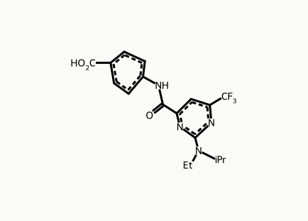 CCN(c1nc(C(=O)Nc2ccc(C(=O)O)cc2)cc(C(F)(F)F)n1)C(C)C